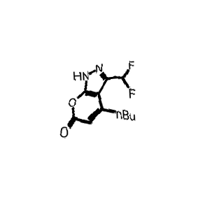 CCCCc1cc(=O)oc2[nH]nc(C(F)F)c12